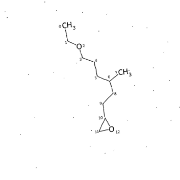 CCOCCCC(C)CCC1CO1